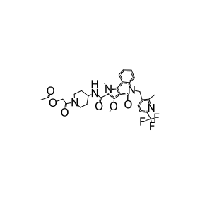 COc1c(C(=O)NC2CCN(C(=O)COC(C)=O)CC2)n(C)c2c1c(=O)n(Cc1ccc(C(F)(F)F)nc1C)c1ccccc21